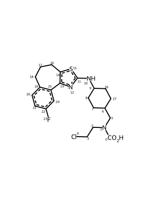 O=C(O)N(CCCl)CC1CCC(Nc2nc3c(s2)CCCc2ccc(F)cc2-3)CC1